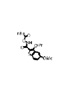 CCCCC(=O)ONC(=O)c1sc2ccc(OC)cc2c1OC(C)C